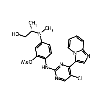 COc1cc(N(C)[C@@H](C)CO)ccc1Nc1ncc(Cl)c(-c2cnc3ccccn23)n1